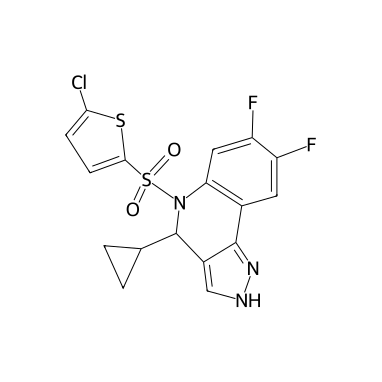 O=S(=O)(c1ccc(Cl)s1)N1c2cc(F)c(F)cc2-c2n[nH]cc2C1C1CC1